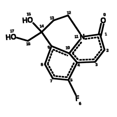 O=c1ccc2c(F)ccc3c2n1CCC3(O)CO